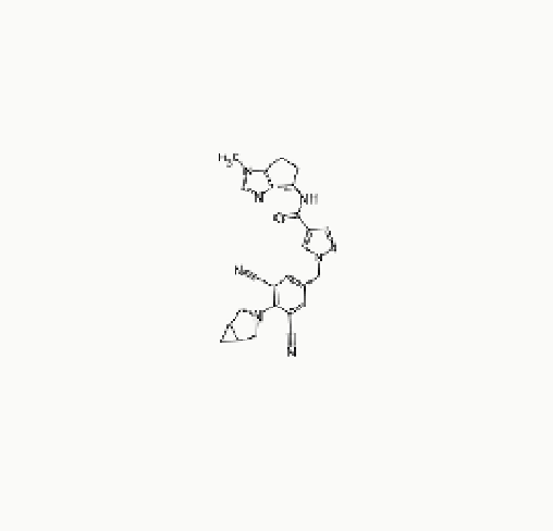 Cn1cnc2c1CC[C@H]2NC(=O)c1cnn(Cc2cc(C#N)c(N3CC4CC4C3)c(C#N)c2)c1